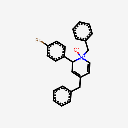 [O-][N+]1(Cc2ccccc2)C=CC(Cc2ccccc2)=CC1c1ccc(Br)cc1